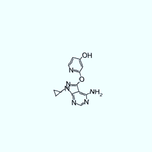 Nc1ncnc2c1c(Oc1cc(O)ccn1)nn2C1CC1